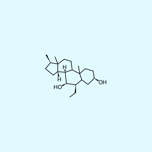 CC[C@@H]1C2C[C@H](O)CCC2(C)C2CCC3(C)[C@H](C)CC[C@H]3[C@H]2[C@@H]1O